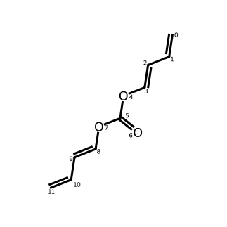 C=CC=COC(=O)OC=CC=C